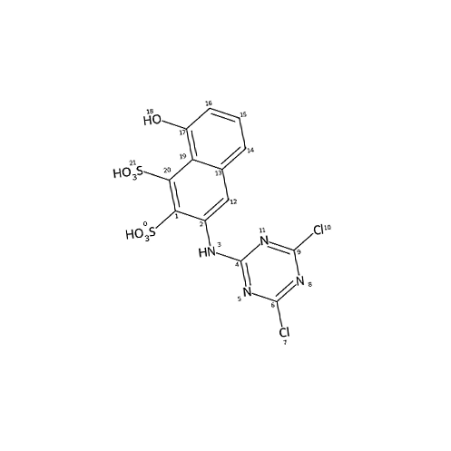 O=S(=O)(O)c1c(Nc2nc(Cl)nc(Cl)n2)cc2cccc(O)c2c1S(=O)(=O)O